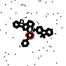 CC1(C)c2ccccc2-c2ccc(N(c3ccc(-c4ccccc4)cc3)c3cccc4c3c(-c3ccccc3)cc3c5ccccc5oc43)cc21